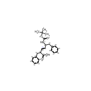 CC(C)(C)OC(=O)NC(/C=C/C(Cc1ccccc1)C(=O)O)Cc1ccccc1